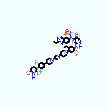 CCc1ncc2c(P(C)(C)=O)c(Nc3nc(Nc4cc(CC)c(N5CCC(N6CC(N7CCC(c8cc(F)c([C@H]9CCC(=O)NC9=O)c(F)c8)CC7)C6)CC5)cc4OC)ncc3Br)ccc2n1